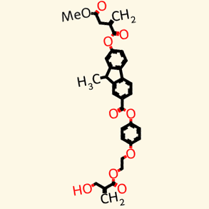 C=C(CO)C(=O)OCCOc1ccc(OC(=O)c2ccc3c(c2)C(C)c2cc(OC(=O)C(=C)CC(=O)OC)ccc2-3)cc1